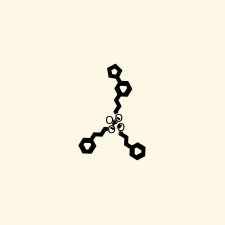 O=P(OCCCc1ccccc1)(OCCCc1ccccc1)OCCCc1cccc(C2CCCC2)c1